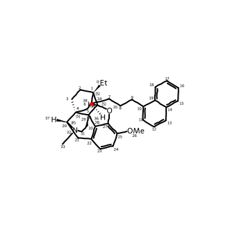 CC[C@]12CC[C@@]3(C[C@@H]1CCCc1cccc4ccccc14)[C@H]1Cc4ccc(OC)c5c4[C@@]3(CCN1C)[C@H]2O5